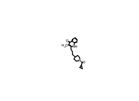 Cc1c(CCCC2CCN(C(=O)C3CC3)CC2)[nH]c2ccccc2c1=O